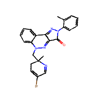 Cc1ccccc1-n1nc2c3ccccc3n(CC3(C)CC=C(Br)C=N3)nc-2c1=O